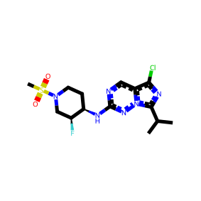 CC(C)c1nc(Cl)c2cnc(N[C@@H]3CCN(S(C)(=O)=O)C[C@@H]3F)nn12